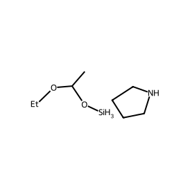 C1CCNC1.CCOC(C)O[SiH3]